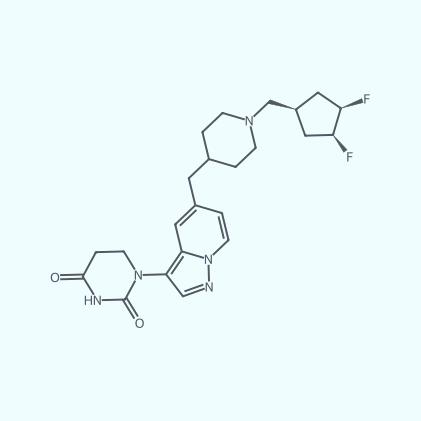 O=C1CCN(c2cnn3ccc(CC4CCN(C[C@H]5C[C@@H](F)[C@@H](F)C5)CC4)cc23)C(=O)N1